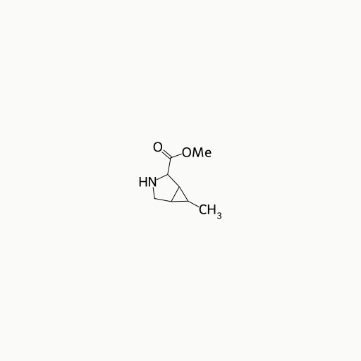 COC(=O)C1NCC2C(C)C12